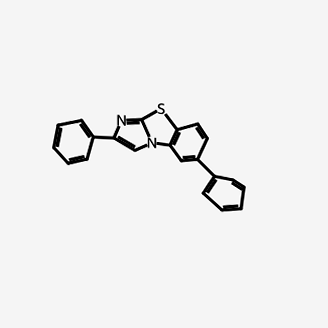 c1ccc(-c2ccc3sc4nc(-c5ccccc5)cn4c3c2)cc1